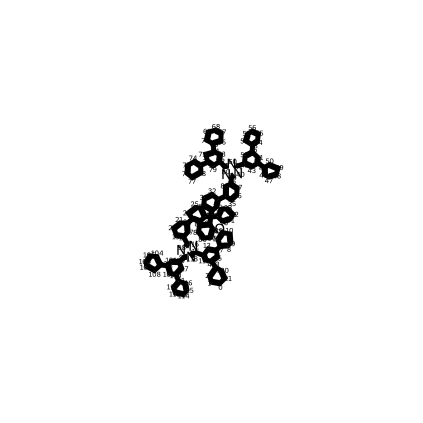 c1ccc(-c2cc(-c3ccccc3)cc(-c3nc(-c4cccc(-c5cccc(C6(c7cccc(-c8cccc(-c9nc(-c%10cc(-c%11ccccc%11)cc(-c%11ccccc%11)c%10)nc(-c%10cc(-c%11ccccc%11)cc(-c%11ccccc%11)c%10)n9)c8)c7)c7ccccc7Oc7ccccc76)c5)c4)nc(-c4cc(-c5ccccc5)cc(-c5ccccc5)c4)n3)c2)cc1